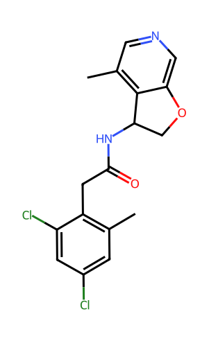 Cc1cc(Cl)cc(Cl)c1CC(=O)NC1COc2cncc(C)c21